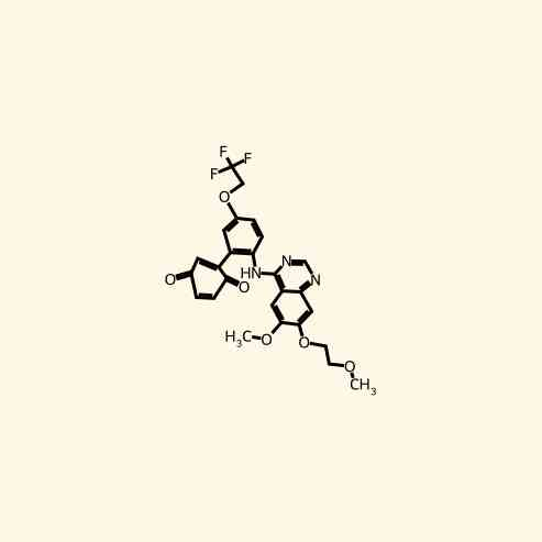 COCCOc1cc2ncnc(Nc3ccc(OCC(F)(F)F)cc3C3=CC(=O)C=CC3=O)c2cc1OC